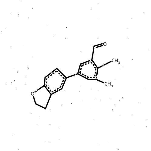 Cc1cc(-c2ccc3c(c2)CCO3)cc(C=O)c1C